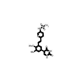 COc1c(C=Cc2ccc(NS(C)(=O)=O)cn2)cc(-c2c[nH]c(=O)[nH]c2=O)cc1C(C)(C)C